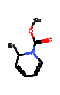 CC(C)(C)OC(=O)N1C=CC=CC1C(C)(C)C